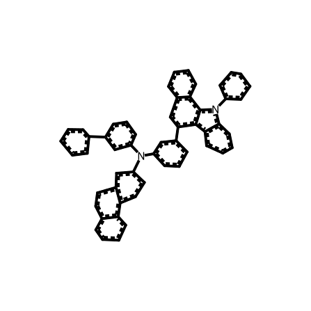 c1ccc(-c2cccc(N(c3cccc(-c4cc5ccccc5c5c4c4ccccc4n5-c4ccccc4)c3)c3ccc4c(ccc5ccccc54)c3)c2)cc1